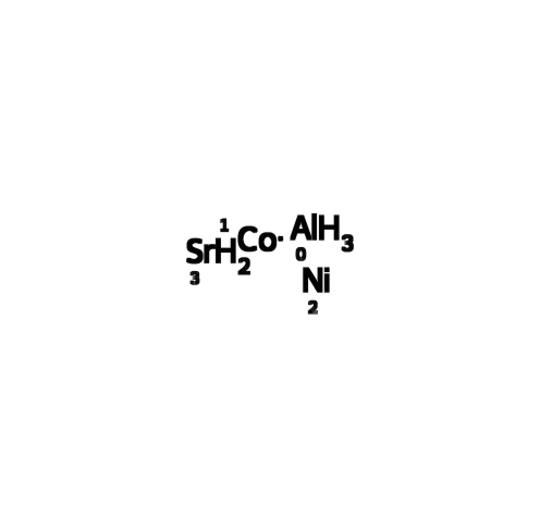 [AlH3].[Co].[Ni].[SrH2]